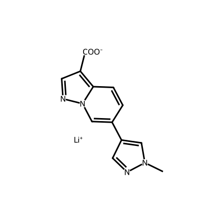 Cn1cc(-c2ccc3c(C(=O)[O-])cnn3c2)cn1.[Li+]